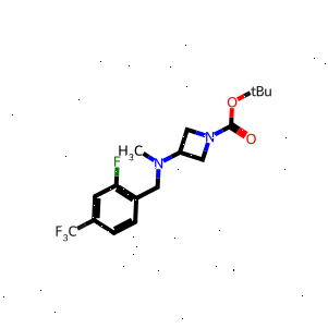 CN(Cc1ccc(C(F)(F)F)cc1F)C1CN(C(=O)OC(C)(C)C)C1